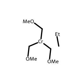 CCC.CO[CH2][Cr]([CH2]OC)[CH2]OC